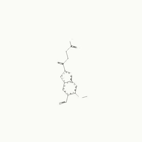 C=Cc1cc2cc(C(=O)CCC(=O)O)sc2cc1OC